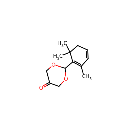 CC1=C(C2OCC(=O)CO2)C(C)(C)CC=C1